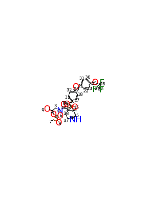 COCCN(OS(C)(=O)=O)C(=O)C1(S(=O)(=O)c2ccc(Oc3ccc(OC(F)(F)F)cc3)cc2)CCNCC1